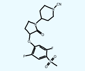 CS(=O)(=O)c1cc(F)c(OC2CCN(C3CCN(C#N)CC3)C2=O)cc1F